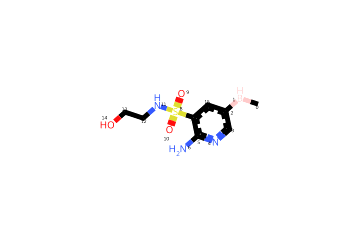 CBc1cnc(N)c(S(=O)(=O)NCCO)c1